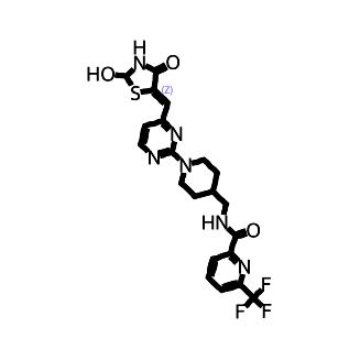 O=C1NC(O)S/C1=C\c1ccnc(N2CCC(CNC(=O)c3cccc(C(F)(F)F)n3)CC2)n1